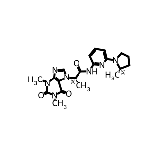 C[C@H]1CCCN1c1cccc(NC(=O)[C@H](C)n2cnc3c2c(=O)n(C)c(=O)n3C)n1